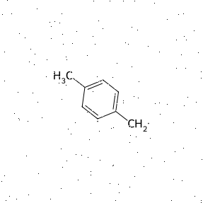 [CH2]c1[c]cc(C)cc1